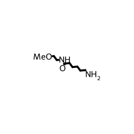 COCCNC(=O)CCCCCN